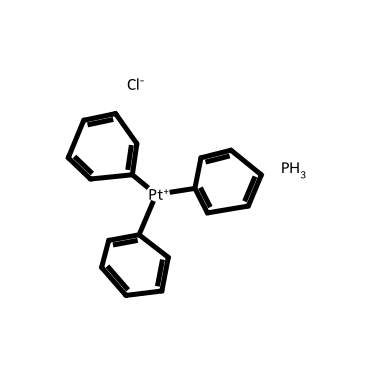 P.[Cl-].c1cc[c]([Pt+]([c]2ccccc2)[c]2ccccc2)cc1